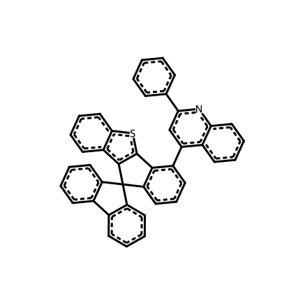 c1ccc(-c2cc(-c3cccc4c3-c3sc5ccccc5c3C43c4ccccc4-c4ccccc43)c3ccccc3n2)cc1